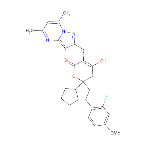 COc1ccc(CCC2(C3CCCC3)CC(O)=C(Cc3nc4nc(C)cc(C)n4n3)C(=O)O2)c(F)c1